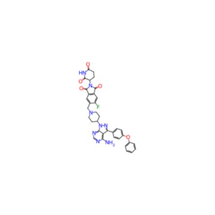 Nc1ncnc2c1c(-c1ccc(Oc3ccccc3)cc1)nn2C1CCN(Cc2cc3c(cc2F)C(=O)N(C2CCC(=O)NC2=O)C3=O)CC1